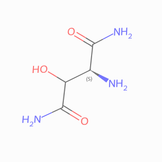 NC(=O)C(O)[C@H](N)C(N)=O